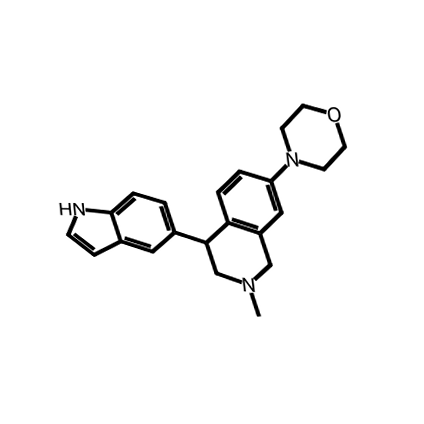 CN1Cc2cc(N3CCOCC3)ccc2C(c2ccc3[nH]ccc3c2)C1